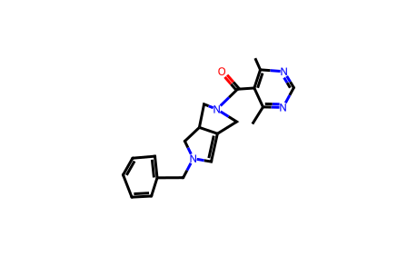 Cc1ncnc(C)c1C(=O)N1CC2=CN(Cc3ccccc3)CC2C1